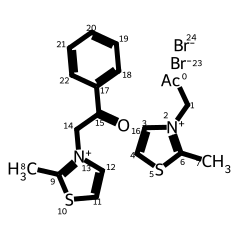 CC(=O)C[n+]1ccsc1C.Cc1scc[n+]1CC(=O)c1ccccc1.[Br-].[Br-]